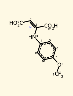 O=C(O)/C=C(\Nc1ccc(OC(F)(F)F)cc1)C(=O)O